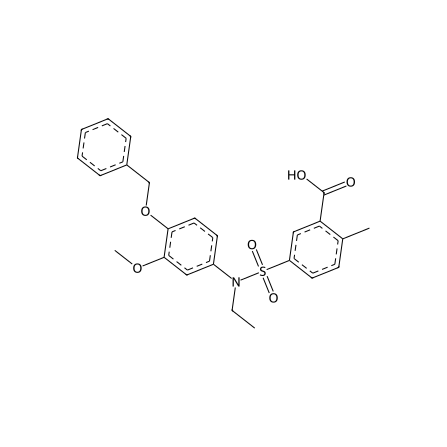 CCN(c1ccc(OCc2ccccc2)c(OC)c1)S(=O)(=O)c1ccc(C)c(C(=O)O)c1